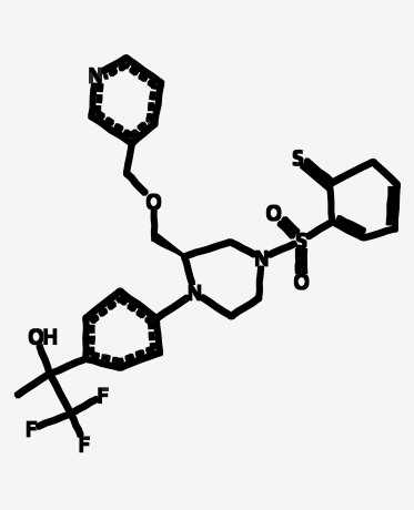 CC(O)(c1ccc(N2CCN(S(=O)(=O)C3=CC=CCC3=S)C[C@@H]2COCc2cccnc2)cc1)C(F)(F)F